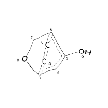 Oc1cc2ccc1CO2